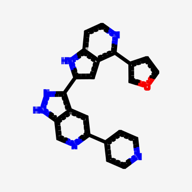 c1cc(-c2cc3c(-c4cc5c(-c6ccoc6)nccc5[nH]4)n[nH]c3cn2)ccn1